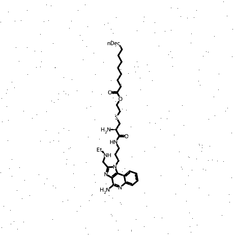 CCCCCCCCCCCCCCCCCC(=O)OCCSC[C@H](N)C(=O)NCCCn1c(CNCC)nc2c(N)nc3ccccc3c21